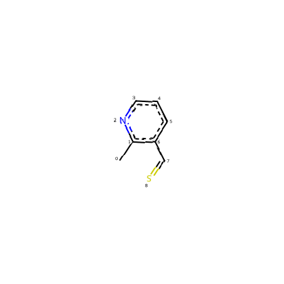 Cc1ncccc1C=S